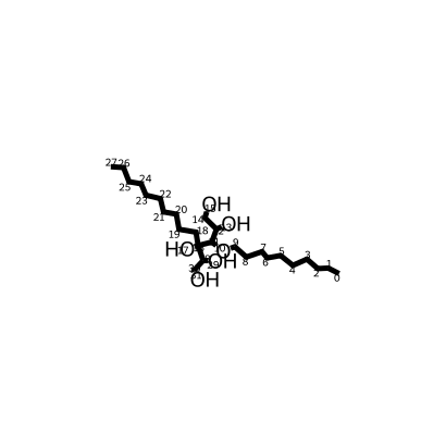 CCCCCCCCCCOC(C(O)CO)C(O)(CCCCCCCCCC)C(O)CO